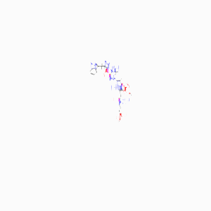 CCOC(=O)CCCNC(=O)CC[C@@H](NC(=O)/C(C)=C/CN(C)C(=O)C(NC(=O)[C@@H](N(C)C)C(C)(C)c1cn(C)c2ccccc12)C(C)(C)C)C(=O)OCC